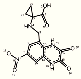 O=C(O)C1(NCc2cc([N+](=O)[O-])cc3[nH]c(=O)c(=O)[nH]c23)CC1